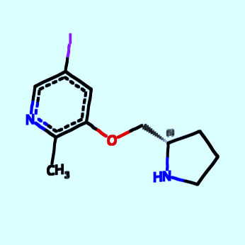 Cc1ncc(I)cc1OC[C@@H]1CCCN1